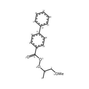 COC[C](C)OOC(=O)c1ccc(-c2ccccc2)cc1